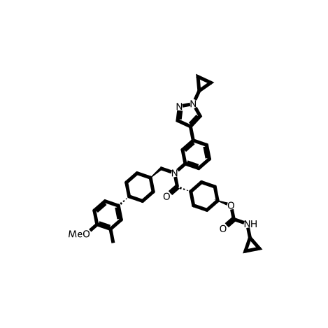 COc1ccc([C@H]2CC[C@H](CN(c3cccc(-c4cnn(C5CC5)c4)c3)C(=O)[C@H]3CC[C@H](OC(=O)NC4CC4)CC3)CC2)cc1C